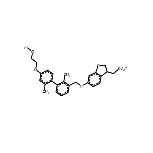 CCOCCOc1ccc(-c2cccc(COc3ccc4c(c3)OCC4CC(=O)O)c2C)c(C)c1